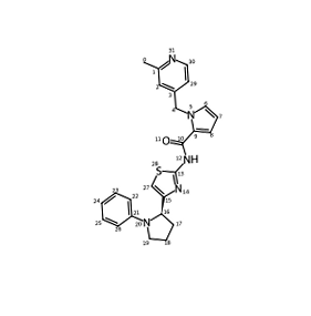 Cc1cc(Cn2cccc2C(=O)Nc2nc([C@H]3CCCN3c3ccccc3)cs2)ccn1